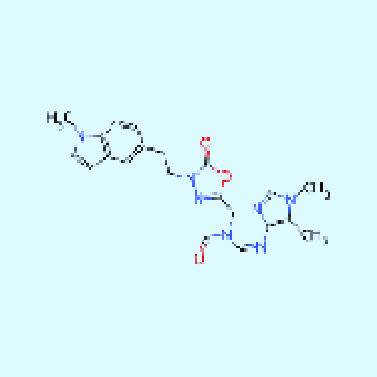 Cc1c(/N=C\N(C=O)Cc2nn(CCc3ccc4c(ccn4C)c3)c(=O)o2)ncn1C